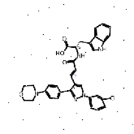 O=C(/C=C/c1cn(-c2cccc(Cl)c2)nc1-c1ccc(N2CCOCC2)cc1)N[C@@H](Cc1c[nH]c2ccccc12)C(=O)O